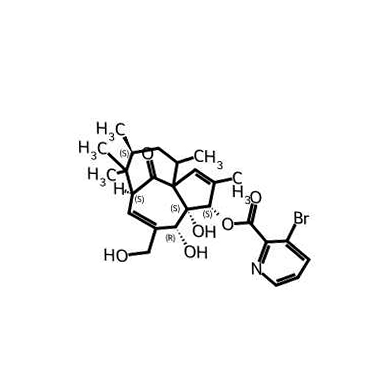 CC1=CC23C(=O)[C@@H](C=C(CO)[C@@H](O)[C@]2(O)[C@H]1OC(=O)c1ncccc1Br)C(C)(C)[C@@H](C)CC3C